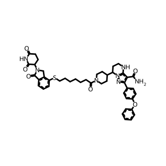 NC(=O)c1c(-c2ccc(Oc3ccccc3)cc2)nn2c1NCCC2C1CCN(C(=O)CCCCCCSc2cccc3c2CN(C2CCC(=O)NC2=O)C3=O)CC1